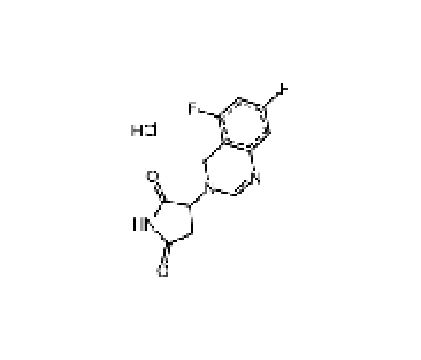 Cl.O=C1CC(N2C=Nc3cc(F)cc(F)c3C2)C(=O)N1